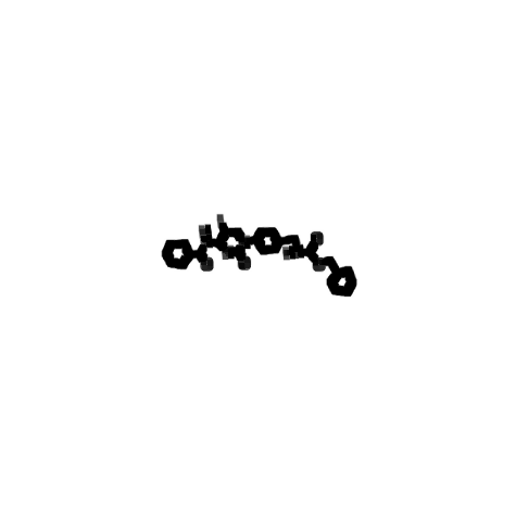 O=C(NCc1ccc(-n2cc(I)c(NC(=O)c3ccccc3)nc2=O)cc1)OCc1ccccc1